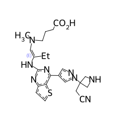 CC/C(=C\N(C)CCCC(=O)O)Nc1nc(-c2cnn(C3(CC#N)CNC3)c2)c2sccc2n1